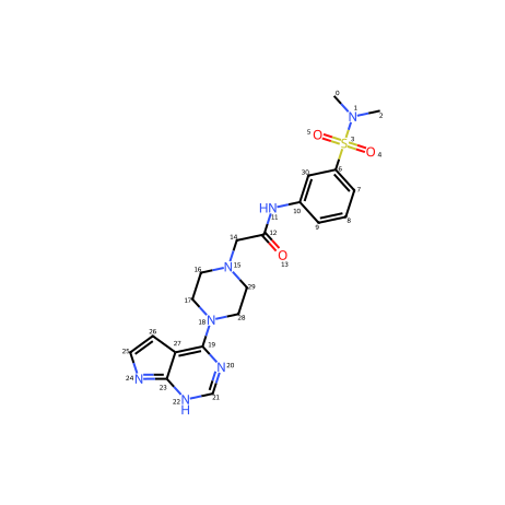 CN(C)S(=O)(=O)c1cccc(NC(=O)CN2CCN(c3nc[nH]c4nccc3-4)CC2)c1